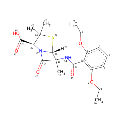 CCOc1cccc(OCC)c1C(=O)NC1(C)C(=O)N2[C@@H](C(=O)O)C(C)(C)S[C@@H]21